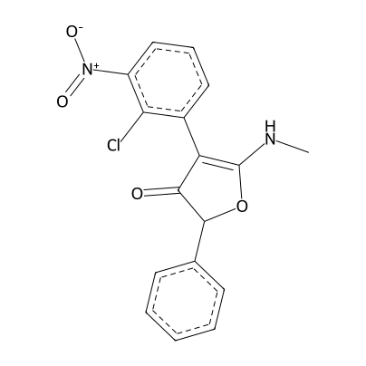 CNC1=C(c2cccc([N+](=O)[O-])c2Cl)C(=O)C(c2ccccc2)O1